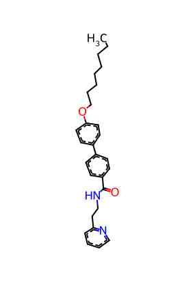 CCCCCCCCOc1ccc(-c2ccc(C(=O)NCCc3ccccn3)cc2)cc1